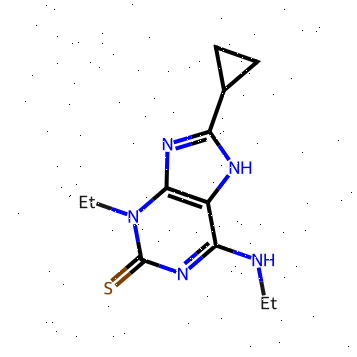 CCNc1nc(=S)n(CC)c2nc(C3CC3)[nH]c12